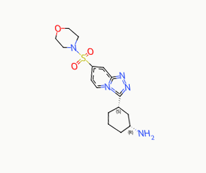 N[C@@H]1CCC[C@H](c2nnc3cc(S(=O)(=O)N4CCOCC4)ccn23)C1